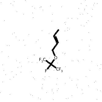 CC=CCOC(F)(C(F)(F)F)C(F)(F)F